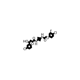 O=C(COc1ccc(Cl)c(F)c1)NC12CC(NC(=O)C3CC(O)c4cc(Cl)ccc4O3)(C1)C2